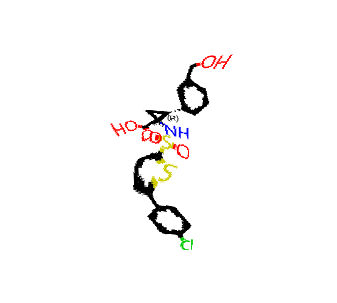 O=C(O)[C@]1(NS(=O)(=O)c2ccc(-c3ccc(Cl)cc3)s2)C[C@@H]1c1cccc(CO)c1